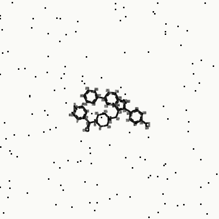 O=C(c1ccnnc1)N1CCN(Cc2c(-c3ccc(Cl)cc3)nc3ccc(-c4ccccc4)cn23)CC1